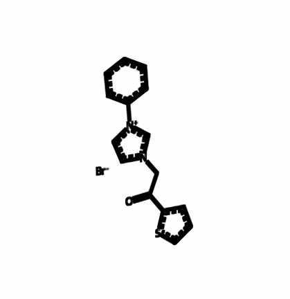 O=C(Cn1cc[n+](-c2ccccc2)c1)c1cccs1.[Br-]